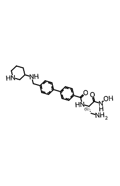 NC[C@H](NC(=O)c1ccc(-c2ccc(CNC3CCCNC3)cc2)cc1)C(=O)NO